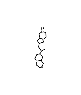 CC(C)N1CCN2CC(CC(C)N3CCN4CCOCC4C3)CC2C1